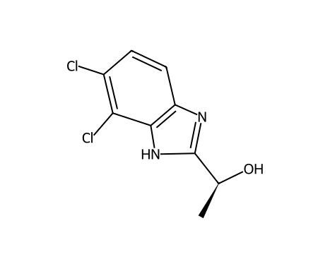 C[C@H](O)c1nc2ccc(Cl)c(Cl)c2[nH]1